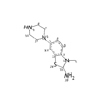 CN1c2ccc(N3CCNCC3)cc2SC1N